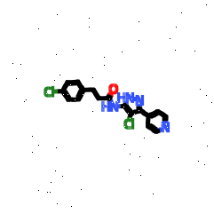 O=C(CCc1ccc(Cl)cc1)Nc1[nH]nc(-c2ccncc2)c1Cl